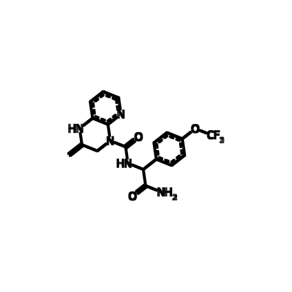 C=C1CN(C(=O)NC(C(N)=O)c2ccc(OC(F)(F)F)cc2)c2ncccc2N1